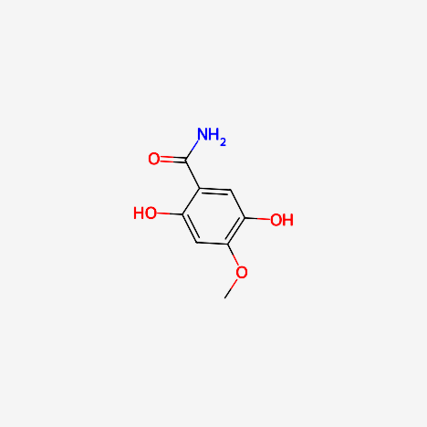 COc1cc(O)c(C(N)=O)cc1O